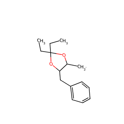 [CH2]C1OC(CC)(CC)OC1Cc1ccccc1